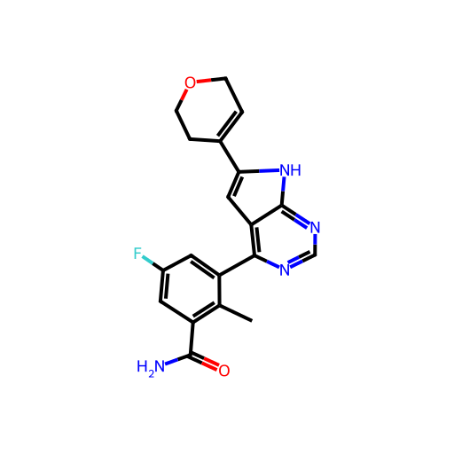 Cc1c(C(N)=O)cc(F)cc1-c1ncnc2[nH]c(C3=CCOCC3)cc12